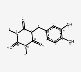 CN1C(=O)C(Cc2ccc(O)c(O)c2)C(=O)N(C)C1=O